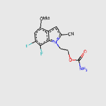 COc1cc(F)c(F)c2c1cc(C#N)n2CCOC(N)=O